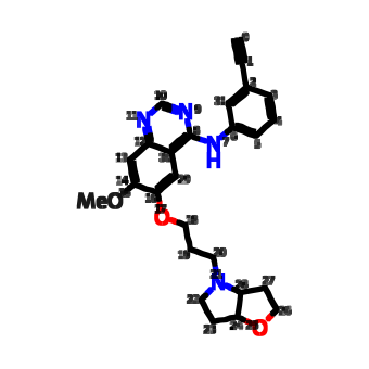 C#Cc1cccc(Nc2ncnc3cc(OC)c(OCCCN4CCC5OCCC54)cc23)c1